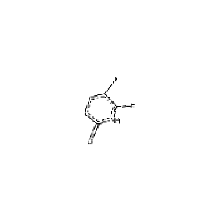 O=c1ccc(I)c(F)[nH]1